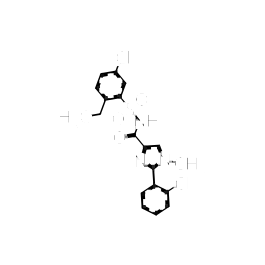 CCc1ccc(Cl)cc1S(=O)(=O)NC(=O)c1cn(C)c(-c2ccccc2Cl)n1